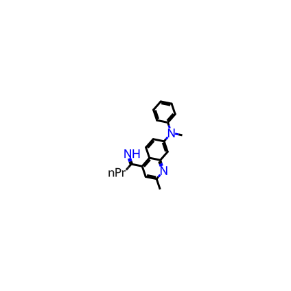 CCCC(=N)c1cc(C)nc2cc(N(C)c3ccccc3)ccc12